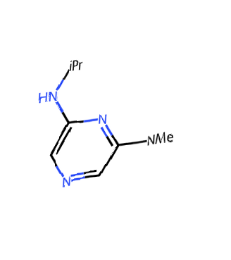 CNc1cncc(NC(C)C)n1